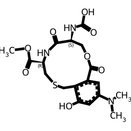 COC(=O)[C@@H]1CSCc2c(O)cc(N(C)C)cc2C(=O)OC[C@H](NC(=O)O)C(=O)N1